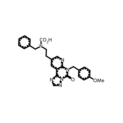 COc1ccc(Cn2c(=O)n3ncnc3c3cc(CCN(Cc4ccccc4)C(=O)O)cnc32)cc1